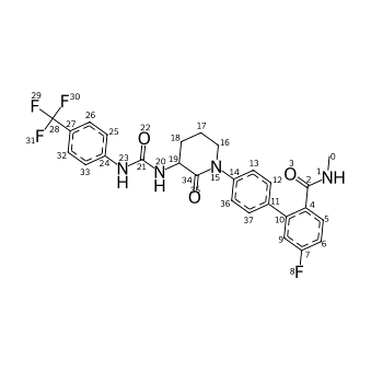 CNC(=O)c1ccc(F)cc1-c1ccc(N2CCCC(NC(=O)Nc3ccc(C(F)(F)F)cc3)C2=O)cc1